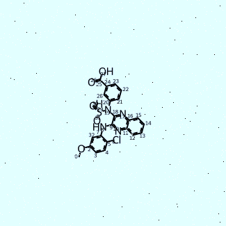 COc1ccc(Cl)c(Nc2nc3ccccc3nc2N(c2cccc(C(=O)O)c2)[SH](=O)=O)c1